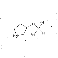 [2H]C([2H])([2H])OC1CCNC1